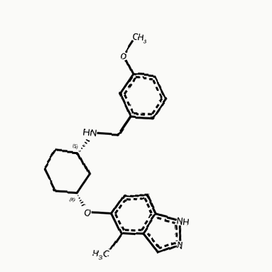 COc1cccc(CN[C@H]2CCC[C@@H](Oc3ccc4[nH]ncc4c3C)C2)c1